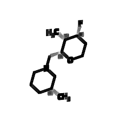 C[C@@H]1CCCN(C[C@H]2OCC[C@@H](F)[C@H]2C)C1